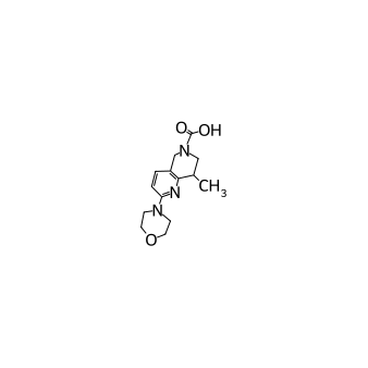 CC1CN(C(=O)O)Cc2ccc(N3CCOCC3)nc21